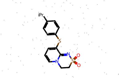 CC(C)c1ccc(SC2=CC=CN3CCS(=O)(=O)N=C23)cc1